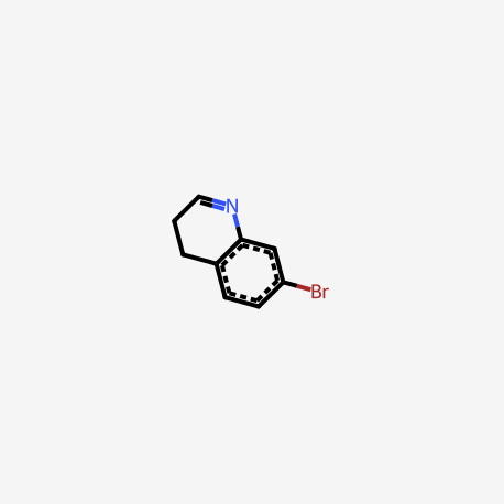 Brc1ccc2c(c1)N=CCC2